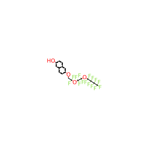 Oc1ccc2cc(OCC(F)(F)OC(F)(F)C(F)(F)OC(F)(F)C(F)(F)C(F)(F)C(F)(F)F)ccc2c1